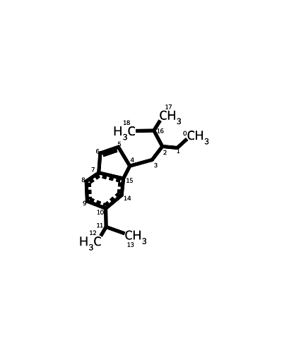 CCC(CC1C=Cc2ccc(C(C)C)cc21)C(C)C